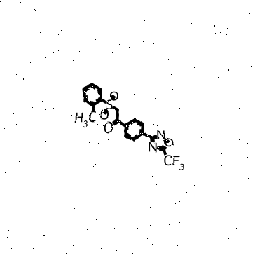 Cc1ccccc1S(=O)(=O)CC(=O)c1ccc(-c2noc(C(F)(F)F)n2)cc1